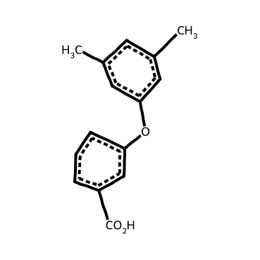 Cc1cc(C)cc(Oc2cccc(C(=O)O)c2)c1